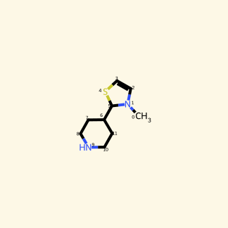 CN1C=CSC1C1CCNCC1